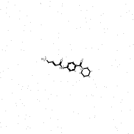 CC/C=C/C(=O)Nc1ccc(C(=O)N2CCCCC2)cc1